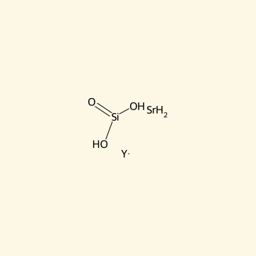 O=[Si](O)O.[SrH2].[Y]